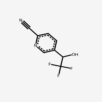 N#Cc1ccc(C(O)C(F)(F)F)cn1